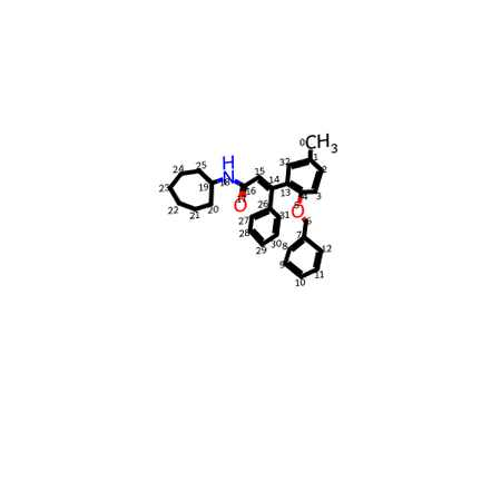 Cc1ccc(OCc2ccccc2)c(/C(=C/C(=O)NC2CCCCCC2)c2ccccc2)c1